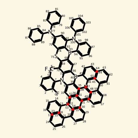 Fc1cccc(F)c1N1c2cc(N(c3ccccc3)c3c(-c4ccccc4)cccc3-c3ccccc3)cc3c2B(c2ccccc2N3c2c(-c3ccccc3)cccc2-c2ccccc2)c2cc3c(c(C(F)(F)F)c21)Sc1cc(N(c2ccccc2)c2ccccc2)cc2c1B3c1ccccc1N2c1ccccc1